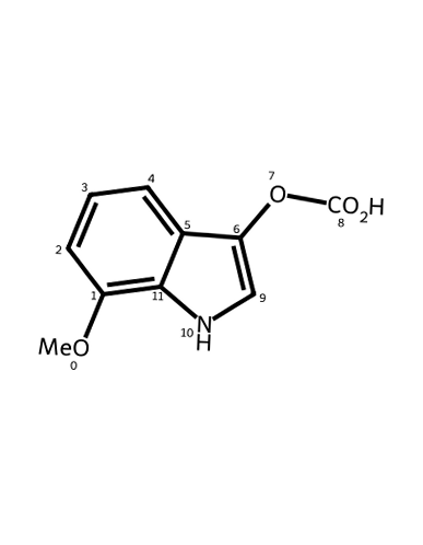 COc1cccc2c(OC(=O)O)c[nH]c12